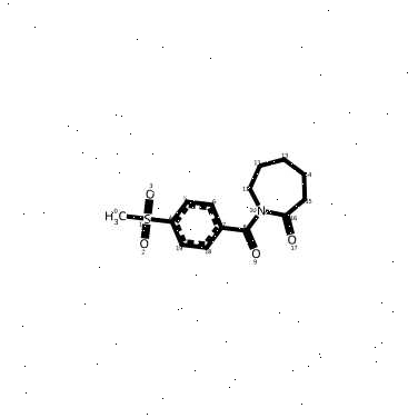 CS(=O)(=O)c1ccc(C(=O)N2CCCCCC2=O)cc1